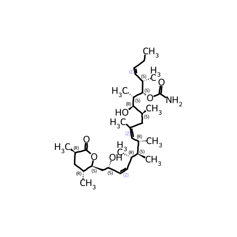 CC/C=C\[C@H](C)[C@H](OC(N)=O)[C@@H](C)[C@H](O)[C@@H](C)C/C(C)=C\[C@H](C)[C@@H](C)[C@@H](C)/C=C\[C@@H](O)C[C@@H]1OC(=O)[C@H](C)C[C@H]1C